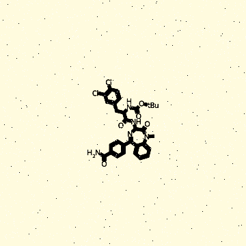 CN1C(=O)C(NC(=O)C(Cc2ccc(Cl)c(Cl)c2)NC(=O)OC(C)(C)C)N=C(c2ccc(C(N)=O)cc2)c2ccccc21